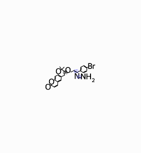 CC1(C)Oc2cc3oc(=O)ccc3cc2C[C@@H]1OC/C=C(\N=C/N)c1ccc(Br)cc1